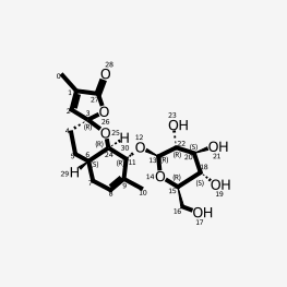 CC1=C[C@@]2(CC[C@H]3CC=C(C)[C@@H](O[C@@H]4O[C@H](CO)[C@@H](O)[C@H](O)[C@H]4O)[C@@H]3O2)OC1=O